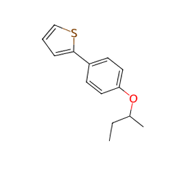 CCC(C)Oc1ccc(-c2cccs2)cc1